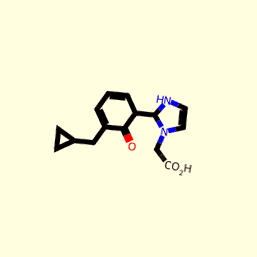 O=C(O)CN1C=CNC1C1C=CC=C(CC2CC2)C1=O